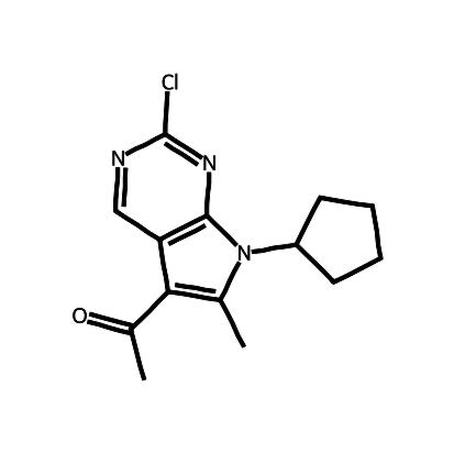 CC(=O)c1c(C)n(C2CCCC2)c2nc(Cl)ncc12